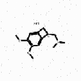 COc1cc2c(cc1OC)[C@H](CN(C)C)C2.Cl